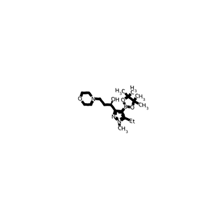 CCc1c(B2OC(C)(C)C(C)(C)O2)c([C@H](O)CCN2CCOCC2)nn1C